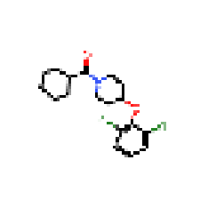 O=C(C1CCCCC1)N1CCC(Oc2c(Cl)cccc2Cl)CC1